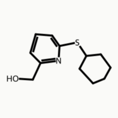 OCc1cccc(SC2CCCCC2)n1